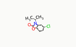 CC(C)n1c(=O)oc2ccc(Cl)cc21